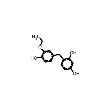 CCOc1cc(Cc2ccc(O)cc2O)ccc1O